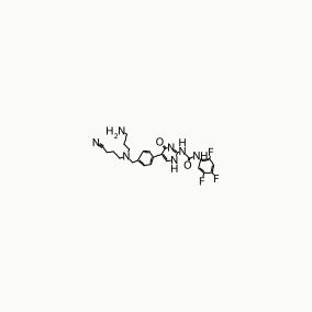 N#CCCCN(CCCN)Cc1ccc(-c2c[nH]c(NC(=O)Nc3cc(F)c(F)cc3F)nc2=O)cc1